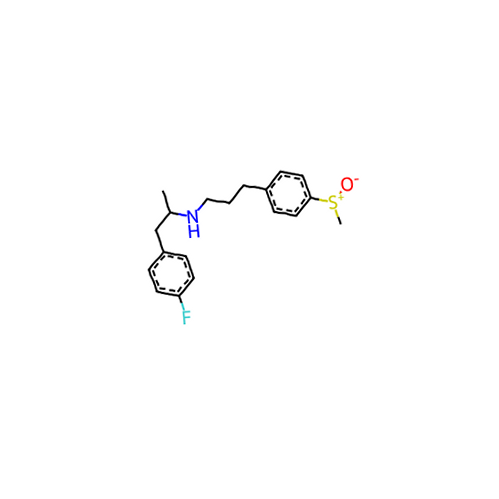 CC(Cc1ccc(F)cc1)NCCCc1ccc([S+](C)[O-])cc1